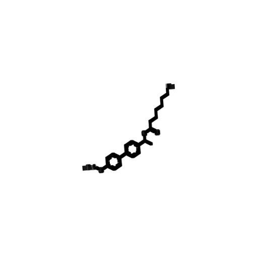 CCCCCCCCOc1ccc(-c2ccc(C(C)OC(=O)CCCCCCC(C)CC)cc2)cc1